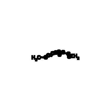 C=CC(=O)OCCCOC1COC(COc2ccc3c(c2)Cc2cc(OCCCCC)ccc2-3)OC1